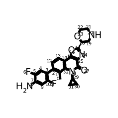 Cc1c(-c2cc(F)c(N)cc2F)ccc2c3oc([C@@H]4CNCCO4)nc3c(=O)n(C3CC3)c12